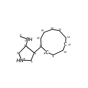 CBC1CNCC1C1CCCCCCCCC1